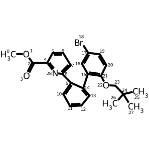 COC(=O)c1cccc(-c2ccccc2-c2cc(Br)ccc2OCC(C)(C)C)n1